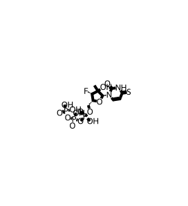 CC1(O)[C@@H](F)[C@@H](COP(=O)(O)OP(=O)(O)OP(=O)(O)O)O[C@H]1n1ccc(=S)[nH]c1=O